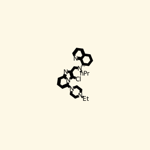 CCCN(Cc1nc2cccc(N3CCN(CC)CC3)n2c1Cl)[C@H]1CCCc2cccnc21